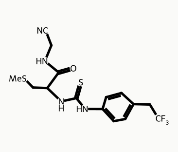 CSCC(NC(=S)Nc1ccc(CC(F)(F)F)cc1)C(=O)NCC#N